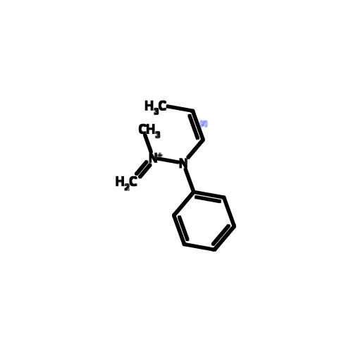 C=[N+](C)N(/C=C\C)c1ccccc1